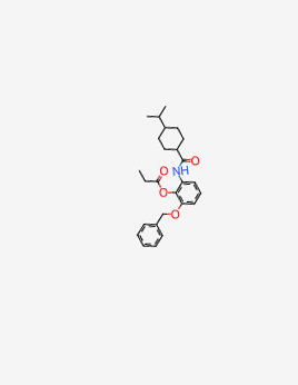 CCC(=O)Oc1c(NC(=O)C2CCC(C(C)C)CC2)cccc1OCc1ccccc1